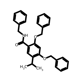 CC(C)c1cc(C(=O)NCc2ccccc2)c(OCc2ccccc2)cc1OCc1ccccc1